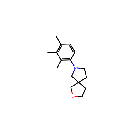 Cc1ccc(N2CCC3(CCOC3)C2)c(C)c1C